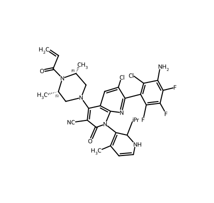 C=CC(=O)N1[C@H](C)CN(c2c(C#N)c(=O)n(C3=C(C)C=CNC3C(C)C)c3nc(-c4c(F)c(F)c(F)c(N)c4Cl)c(Cl)cc23)C[C@@H]1C